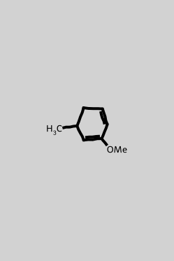 COC1=CC(C)CC=C1